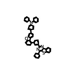 c1ccc(-c2nc(-c3cccc(-c4cccc5oc6cc(-c7ccc(N(c8ccccc8)c8ccccc8)cc7)ccc6c45)c3)nc3c2sc2ccccc23)cc1